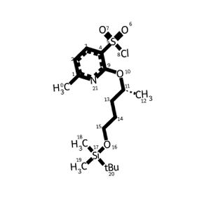 Cc1ccc(S(=O)(=O)Cl)c(O[C@H](C)CCCO[Si](C)(C)C(C)(C)C)n1